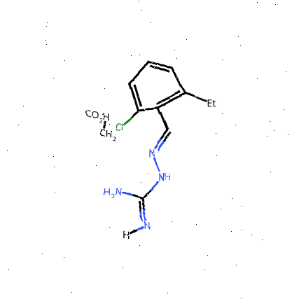 CC(=O)O.[H]/N=C(\N)NN=Cc1c(Cl)cccc1CC